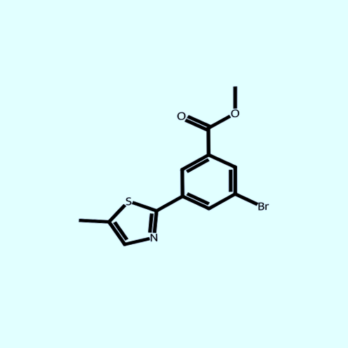 COC(=O)c1cc(Br)cc(-c2ncc(C)s2)c1